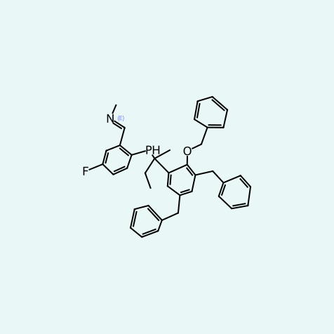 CCC(C)(Pc1ccc(F)cc1/C=N/C)c1cc(Cc2ccccc2)cc(Cc2ccccc2)c1OCc1ccccc1